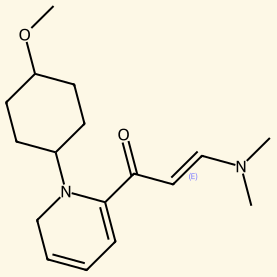 COC1CCC(N2CC=CC=C2C(=O)/C=C/N(C)C)CC1